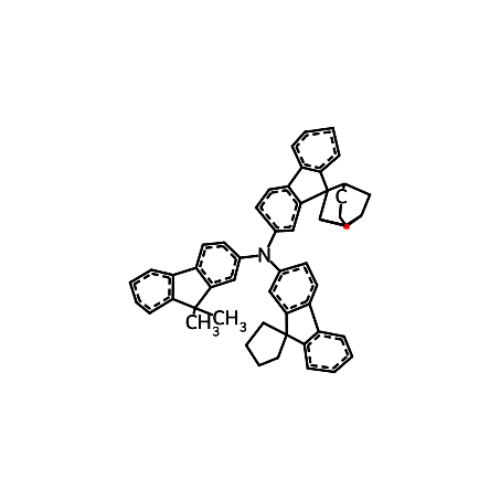 CC1(C)c2ccccc2-c2ccc(N(c3ccc4c(c3)C3(CCCC3)c3ccccc3-4)c3ccc4c(c3)C3(c5ccccc5-4)C4CCC5C(C4)CC53)cc21